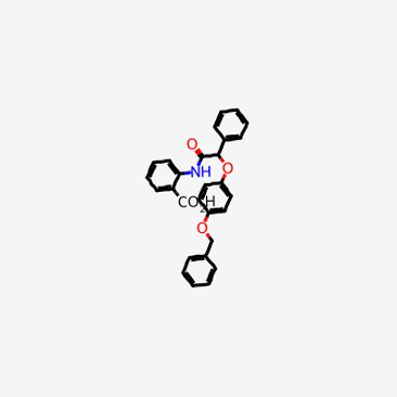 O=C(O)c1ccccc1NC(=O)C(Oc1ccc(OCc2ccccc2)cc1)c1ccccc1